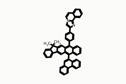 CC1(C)c2ccccc2-c2cc3c(-c4cc5ccccc5c5ccccc45)c4ccccc4c(-c4ccc(-c5cn6ccc7ccccc7c6n5)cc4)c3cc21